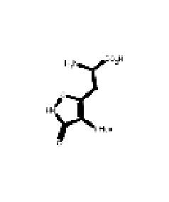 CCCCCCc1c(CC(N)C(=O)O)o[nH]c1=O